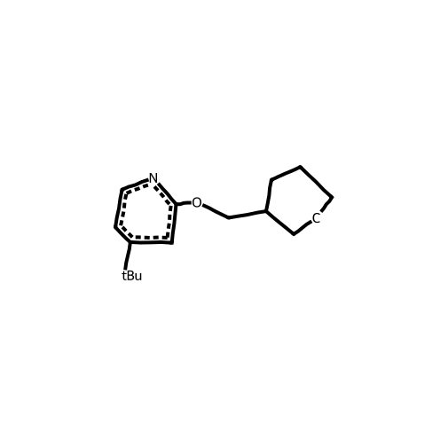 CC(C)(C)c1ccnc(OCC2CCCCC2)c1